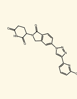 COc1cccc(-c2cn(-c3ccc4c(c3)CN(C3CCC(=O)NC3=O)C4=O)nn2)n1